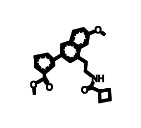 COC(=O)c1cccc(-c2cc(CCNC(=O)C3CCC3)c3cc(OC)ccc3c2)c1